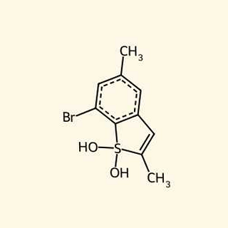 CC1=Cc2cc(C)cc(Br)c2S1(O)O